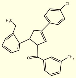 CCc1ccccc1C1CC(c2ccc(Cl)cc2)=CC1C(=O)c1cccc(C)c1